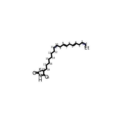 CC/C=C\CC=CCC=CC/C=C\CCCCCCCC1SC(=O)NC1=O